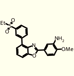 CCS(=O)(=O)c1cccc(-c2cccc3oc(-c4ccc(OC)c(N)c4)nc23)c1